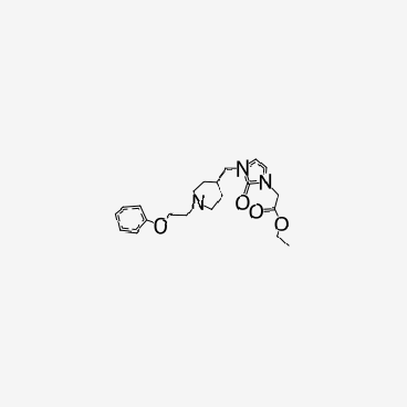 CCOC(=O)Cn1ccn(CC2CCN(CCOc3ccccc3)CC2)c1=O